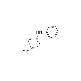 FC(F)(F)c1ccc(Nc2ccccc2)nc1